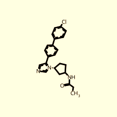 CCC(=O)NC1CC[C@@H](n2cncc2-c2ccc(-c3ccc(Cl)cc3)cc2)C1